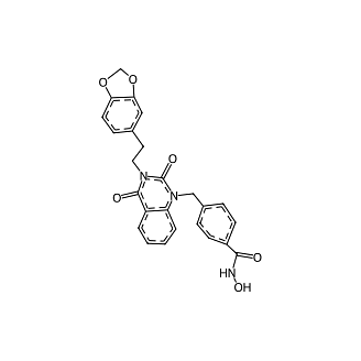 O=C(NO)c1ccc(Cn2c(=O)n(CCc3ccc4c(c3)OCO4)c(=O)c3ccccc32)cc1